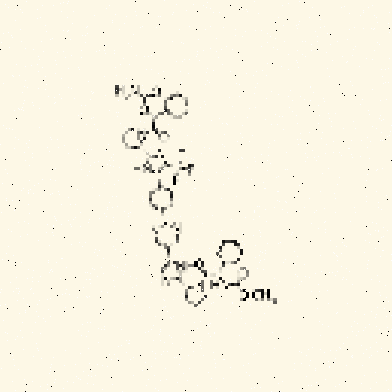 COC(=O)N[C@@H](C(=O)N1CCC[C@H]1c1ncc(-c2cnc(-c3ccc(-c4[nH]c([C@@H]5CCCN5C(=O)[C@H](OC(N)=O)c5ccccc5)nc4C(F)(F)F)cc3)nc2)[nH]1)c1ccccc1